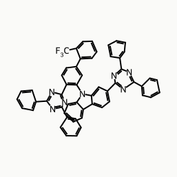 FC(F)(F)c1ccccc1-c1ccc(-c2nc(-c3ccccc3)nc(-c3ccccc3)n2)c(-n2c3ccccc3c3ccc(-c4nc(-c5ccccc5)nc(-c5ccccc5)n4)cc32)c1